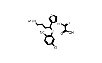 CNCCCC(Oc1cc(Cl)ccc1C#N)c1ccsc1.O=C(O)C(=O)O